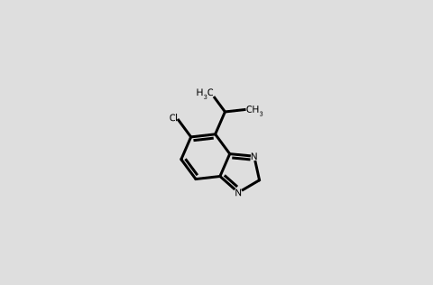 CC(C)c1c(Cl)ccc2c1=NCN=2